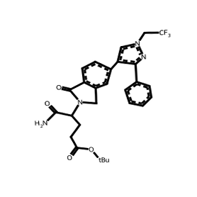 CC(C)(C)OC(=O)CCC(C(N)=O)N1Cc2cc(-c3cn(CC(F)(F)F)nc3-c3ccccc3)ccc2C1=O